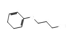 OCCCOC1=CCCC=C1